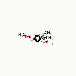 COCOc1ccc([Si](C)(OC)OC)cc1